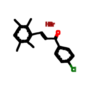 Br.Cc1cc(C)c(C)c(C=CC(=O)c2ccc(Cl)cc2)c1C